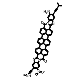 CNC#Cc1cc2nc3c4ccc5c6ccc7c8ccc9c(=O)n%10c%11cc(N)c(C#CC(C)C)cc%11nc%10c%10ccc(c%11ccc(c%12ccc(c(=O)n3c2cc1[N+](=O)[O-])c4c%125)c6c%117)c8c9%10